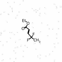 CCOC(=O)/C=C/C(C)(F)F